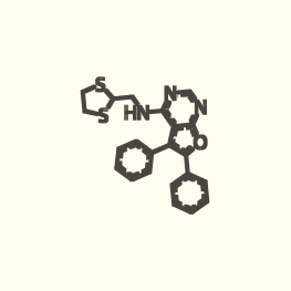 c1ccc(-c2oc3ncnc(NCC4SCCS4)c3c2-c2ccccc2)cc1